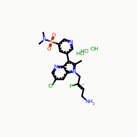 Cc1c(-c2cncc(S(=O)(=O)N(C)C)c2)c2ncc(Cl)cc2n1C/C(F)=C/CN.Cl.Cl.Cl